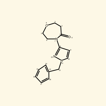 O=C1CCOCCN1c1ccn(Cc2ccccc2)n1